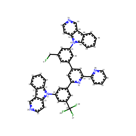 FCc1cc(-c2cc(-c3cc(-n4c5ccccc5c5cnccc54)cc(C(F)(F)F)c3)nc(-c3ccccn3)c2)cc(-n2c3ccccc3c3cnccc32)c1